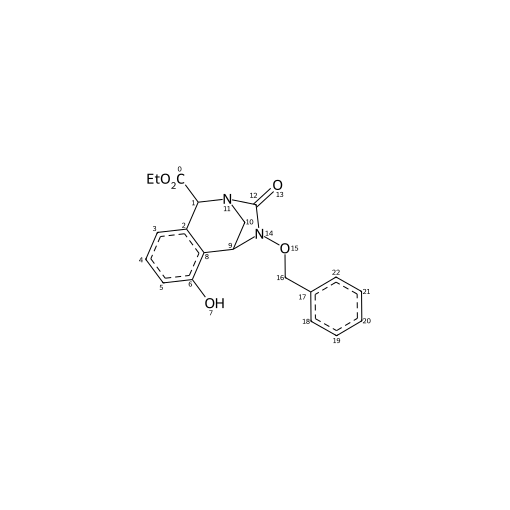 CCOC(=O)C1c2cccc(O)c2C2CN1C(=O)N2OCc1ccccc1